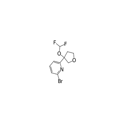 FC(F)OC1(c2cccc(Br)n2)CCOC1